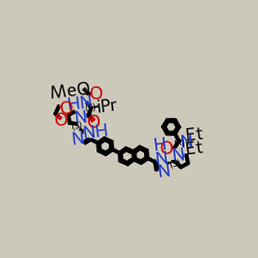 CCN(CC)[C@@H](C(=O)N1CCC[C@H]1c1ncc(-c2ccc3cc(-c4ccc(-c5cnc([C@@H]6CC7(CN6C(=O)[C@@H](NC(=O)OC)C(C)C)OCCO7)[nH]5)cc4)ccc3c2)[nH]1)c1ccccc1